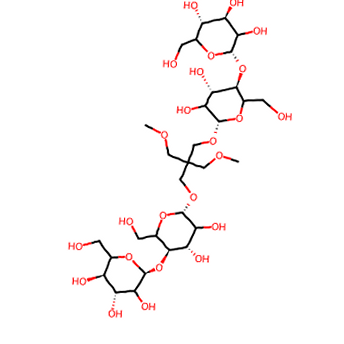 COCC(COC)(CO[C@H]1OC(CO)[C@H](O[C@@H]2OC(CO)[C@H](O)[C@@H](O)C2O)[C@@H](O)C1O)CO[C@H]1OC(CO)[C@H](O[C@@H]2OC(CO)[C@H](O)[C@@H](O)C2O)[C@@H](O)C1O